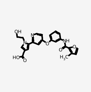 Cc1ccoc1C(=O)Nc1cccc(Oc2ccnc(-c3cc(C(=O)O)cn3CCO)c2)c1